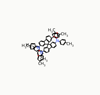 Cc1ccc(-c2ccc3c(c2)C2(c4cc(N(c5ccc(C)cc5)c5ccc(C)cc5)ccc4-3)c3cc(N(c4ccc(C)cc4)c4ccc(C)cc4)ccc3-c3ccc(N(c4ccc(C)cc4)c4ccc(C)cc4)cc32)cc1